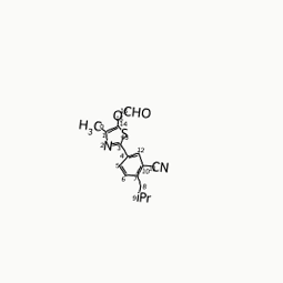 Cc1nc(-c2ccc(CC(C)C)c(C#N)c2)sc1OC=O